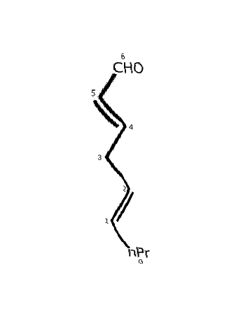 CCCC=CCC=CC=O